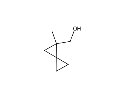 CC1(CO)CC12CC2